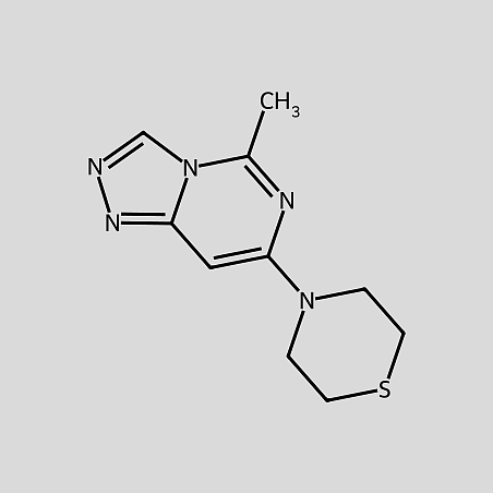 Cc1nc(N2CCSCC2)cc2nncn12